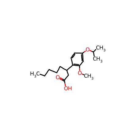 CCCCCC(CC(=O)O)c1ccc(OC(C)C)cc1OC